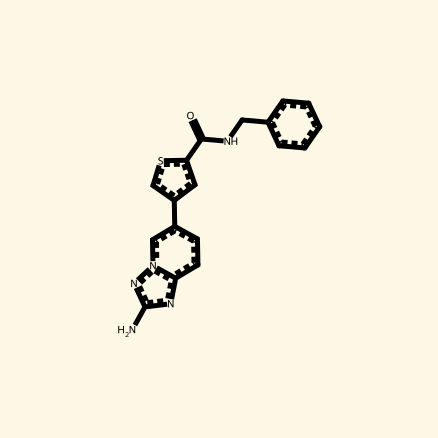 Nc1nc2ccc(-c3csc(C(=O)NCc4ccccc4)c3)cn2n1